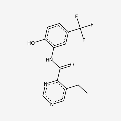 CCc1cncnc1C(=O)Nc1cc(C(F)(F)F)ccc1O